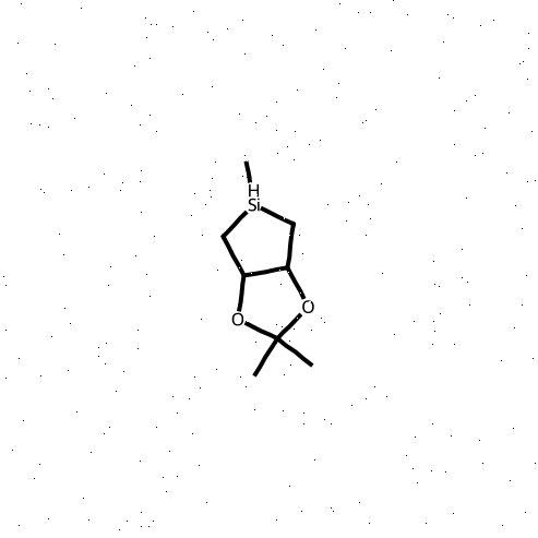 C[SiH]1CC2OC(C)(C)OC2C1